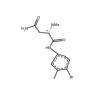 CN[C@@H](CC(N)=O)C(=O)Nc1ccc(Br)c(C)c1